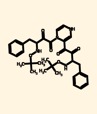 CC(C)(C)ONC(Cc1ccccc1)C(=O)C(=O)C1=CNC=CN1C(=O)C(=O)C(Cc1ccccc1)NOC(C)(C)C